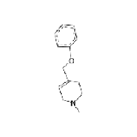 CN1CC=C(COc2ccccc2)CC1